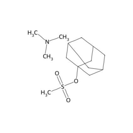 CN(C)C.CS(=O)(=O)OC12CC3CC(CC(C3)C1)C2